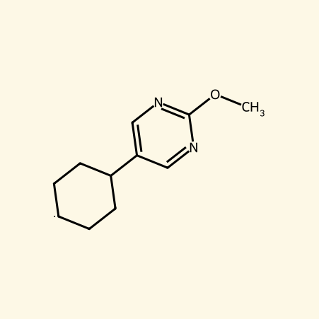 COc1ncc(C2CC[CH]CC2)cn1